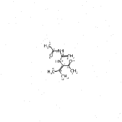 C=C(NC(C)=O)NC(C(C)=O)=C(C)C